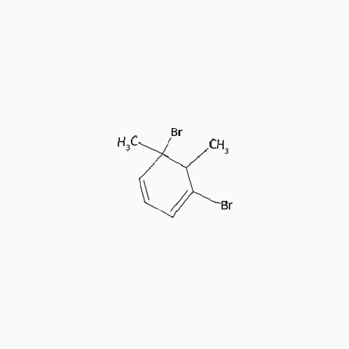 CC1C(Br)=CC=CC1(C)Br